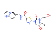 COCCNC(=O)N(C[C@H]1CCCO1)c1ncc(C(=O)NCc2ccc3nccn3c2)s1